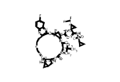 CC(C)(C)[C@@H]1NC(=O)O[C@@H]2CC3C[C@@H]3[C@H]2CCCCCCc2nc3ccc(F)cc3nc2O[C@@H]2C[C@@H](C(=O)N[C@]3(C(=O)NS(=O)(=O)C4CC4)C[C@H]3C(F)F)N(C2)C1=O